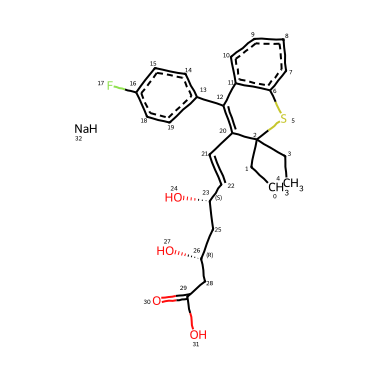 CCC1(CC)Sc2ccccc2C(c2ccc(F)cc2)=C1C=C[C@@H](O)C[C@@H](O)CC(=O)O.[NaH]